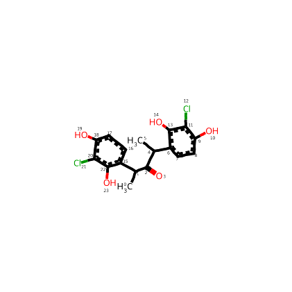 CC(C(=O)C(C)c1ccc(O)c(Cl)c1O)c1ccc(O)c(Cl)c1O